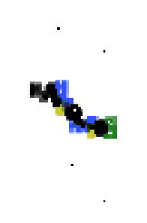 CCCC1CS/C(=N\c2ccc(CCNc3nc4cc(Cl)c(Cl)cc4s3)cc2)N1